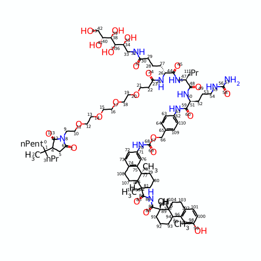 CCCCCC(C)(CCC)C1CC(=O)N(CCOCCOCCOCCOCCC(=O)N[C@H](CCCC(=O)NC[C@H](O)[C@@H](O)[C@H](O)[C@H](O)CO)C(=O)N[C@H](C(=O)N[C@@H](CCCNC(N)=O)C(=O)Nc2ccc(COC(=O)Nc3ccc4c(c3)[C@@]3(C)CCC[C@](C)(C(=O)NC(=O)[C@@]5(C)CCC[C@]6(C)c7cc(O)ccc7CC[C@@H]56)[C@@H]3CC4)cc2)C(C)C)C1=O